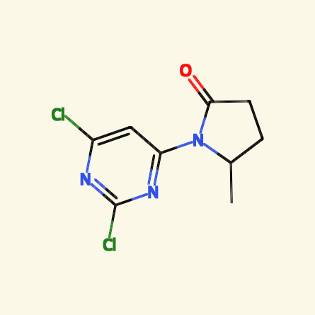 CC1CCC(=O)N1c1cc(Cl)nc(Cl)n1